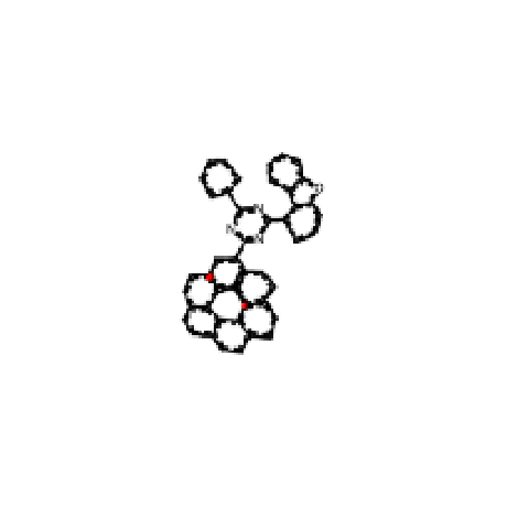 c1ccc(-c2nc(-c3cccc(-c4cccc5ccc6ccc7cccc(-c8ccccc8)c7c6c45)c3)nc(-c3cccc4oc5ccccc5c34)n2)cc1